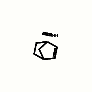 C1=CC2CCC1C2.C=N